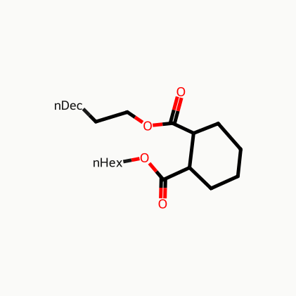 CCCCCCCCCCCCOC(=O)C1CCCCC1C(=O)OCCCCCC